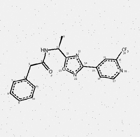 C[C@H](NC(=O)Cc1ccccc1)c1nc(-c2ccnc(C(F)(F)F)c2)no1